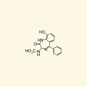 O=C(O)NC1N=C(c2ccccc2)c2cccc(O)c2NC1=O